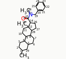 CC1CCC2C(CCC3C2CCC2(C)C(C(=O)N(C)Cc4ccccc4)CCC32)C1